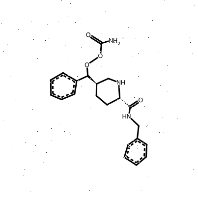 NC(=O)OOC(c1ccccc1)[C@@H]1CC[C@@H](C(=O)NCc2ccccc2)NC1